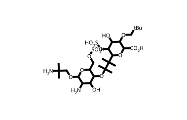 CC(C)(C)COC1C(C(=O)O)OC(C(C)(C)C(C)(C)OC2C(COS(=O)(=O)O)OC(OCC(C)(C)N)C(N)C2O)C(OS(=O)(=O)O)C1O